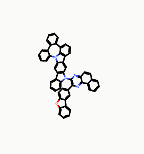 c1ccc2c(c1)-c1ccccc1-n1c3cc4c5ccccc5n(-c5nc6ccc7ccccc7c6nc5-c5ccc6oc7ccccc7c6c5)c4cc3c3cccc-2c31